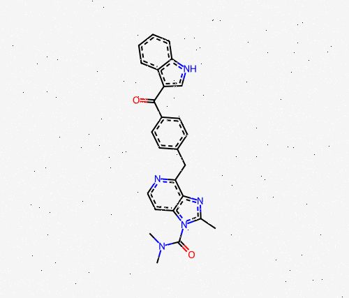 Cc1nc2c(Cc3ccc(C(=O)c4c[nH]c5ccccc45)cc3)nccc2n1C(=O)N(C)C